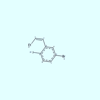 CC/C=C\c1cc(Br)ccc1I